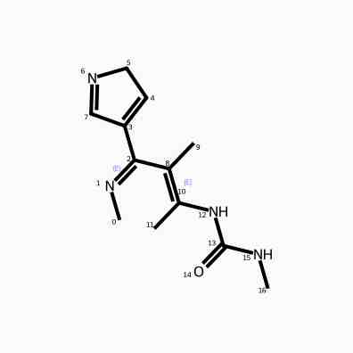 C/N=C(C1=CCN=C1)\C(C)=C(/C)NC(=O)NC